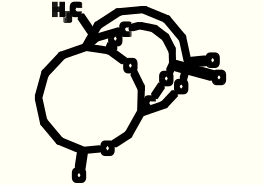 CC1CCCCCC(=O)OCC23COC(=O)CCCCCC1(CCCCCC(=O)OC2)C(=O)OC3